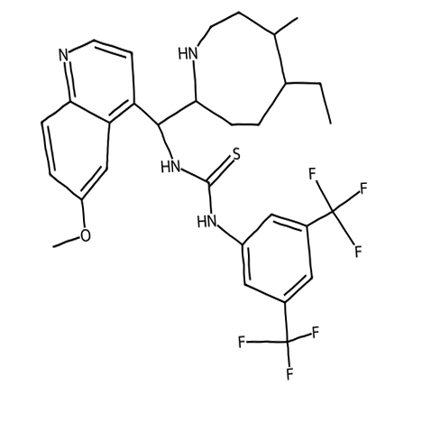 CCC1CCC(C(NC(=S)Nc2cc(C(F)(F)F)cc(C(F)(F)F)c2)c2ccnc3ccc(OC)cc23)NCCC1C